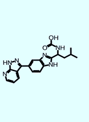 CC(C)CC(NC(=O)O)c1nc2cc(-c3n[nH]c4ncccc34)ccc2[nH]1